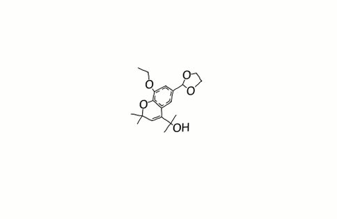 CCOc1cc(C2OCCO2)cc2c1OC(C)(C)C=C2C(C)(C)O